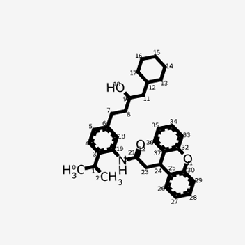 CC(C)c1ccc(CCC(O)CC2CCCCC2)cc1NC(=O)CC1c2ccccc2Oc2ccccc21